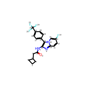 O=C(CC1CCC1)Nc1nc2ccc(F)cn2c1-c1ccc(C(F)(F)F)cc1